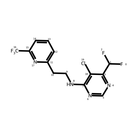 FC(F)c1ncnc(NCCc2cccc(C(F)(F)F)n2)c1Cl